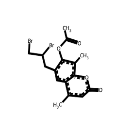 CC(=O)Oc1c(CC(Br)CBr)cc2c(C)cc(=O)oc2c1C